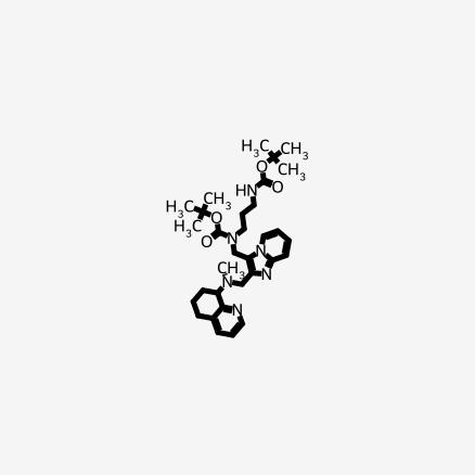 CN(Cc1nc2ccccn2c1CN(CCCNC(=O)OC(C)(C)C)C(=O)OC(C)(C)C)C1CCCc2cccnc21